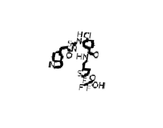 O=C(O)C(F)(F)F.O=C1N=C(Nc2cc(C(=O)NCCc3cccs3)ccc2Cl)SC1=Cc1ccc2ncccc2c1